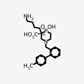 Cc1ccc(-c2ccccc2CN2CCP(=O)(O)[C@](CCCCN)(C(=O)O)C2)cc1